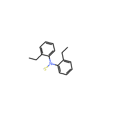 CCc1ccccc1N([S])c1ccccc1CC